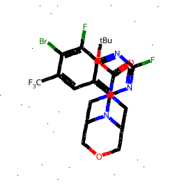 CC(C)(C)OC(=O)N1CC2COCC(C1)N2c1nc(F)nc2c(F)c(Br)c(C(F)(F)F)cc12